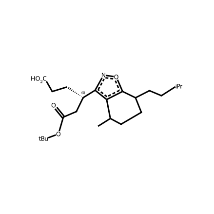 CC(C)CCC1CCC(C)c2c([C@@H](CCC(=O)O)CC(=O)OC(C)(C)C)noc21